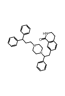 O=C1NCCc2ccc(CC(c3ccccc3)N3CCN(CCC(c4ccccc4)c4ccccc4)CC3)cc21